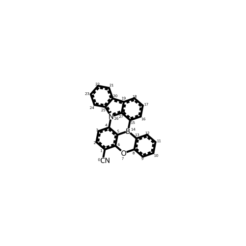 N#Cc1ccc2c3c1Oc1ccccc1B3c1cccc3c4ccccc4n-2c13